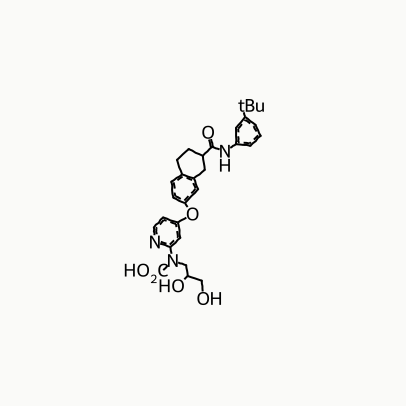 CC(C)(C)c1cccc(NC(=O)C2CCc3ccc(Oc4ccnc(N(CC(O)CO)C(=O)O)c4)cc3C2)c1